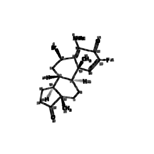 CC(=O)NC1=C2[C@H](Br)C[C@@H]3[C@H](CC[C@]4(C)C(=O)CC[C@@H]34)[C@@]2(C)C=C(F)C1=O